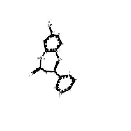 O=C1CC(c2cnccn2)=Nc2ccc(Br)cc2N1